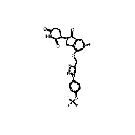 O=C1CCC(N2Cc3c(OCc4cn(-c5ccc(OC(F)(F)F)cc5)nn4)cc(F)cc3C2=O)C(=O)N1